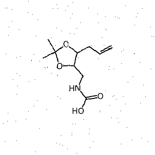 C=CCC1OC(C)(C)OC1CNC(=O)O